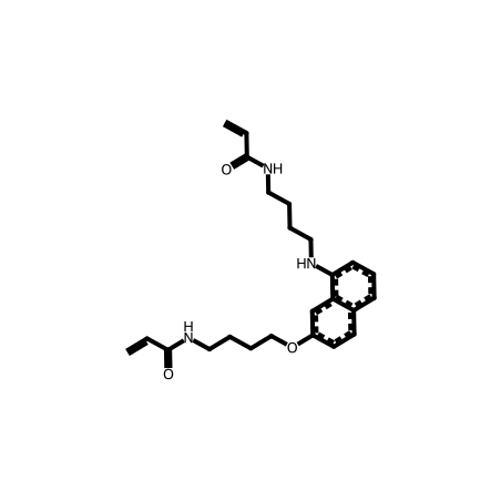 C=CC(=O)NCCCCNc1cccc2ccc(OCCCCNC(=O)C=C)cc12